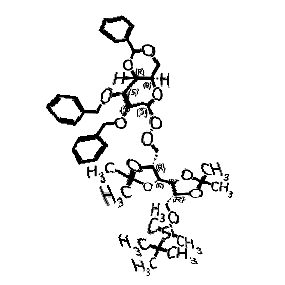 CC1(C)O[C@@H]([C@@H]2OC(C)(C)O[C@@H]2CO[Si](C)(C)C(C)(C)C)[C@@H](COO[C@@H]2O[C@@H]3COC(c4ccccc4)O[C@H]3[C@H](OCc3ccccc3)[C@@H]2OCc2ccccc2)O1